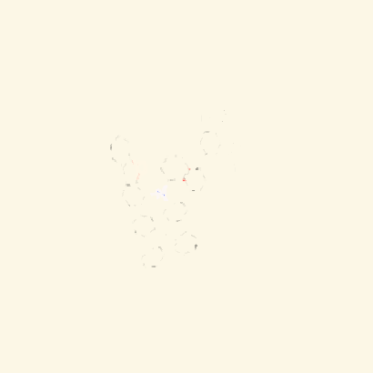 CC1(C)CCC(C)(C)c2cc(-c3ccc(-c4cc5c(cc4N(c4ccccc4)c4cccc6c4oc4ccccc46)C4(c6ccccc6-c6ccccc64)c4ccccc4-5)cc3)ccc21